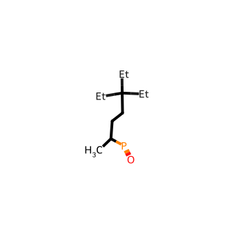 CCC(CC)(CC)CCC(C)P=O